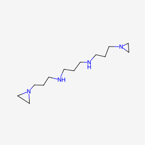 C(CNCCCN1CC1)CNCCCN1CC1